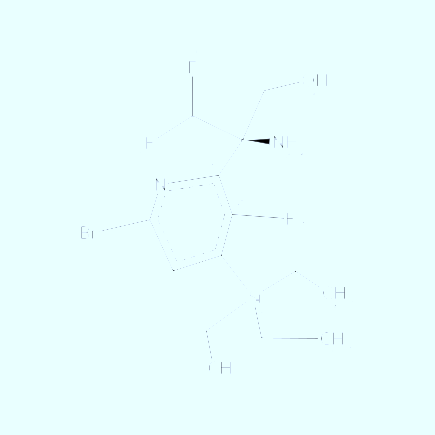 CC[Si](CC)(CC)c1cc(Br)nc([C@@](N)(CO)C(F)F)c1F